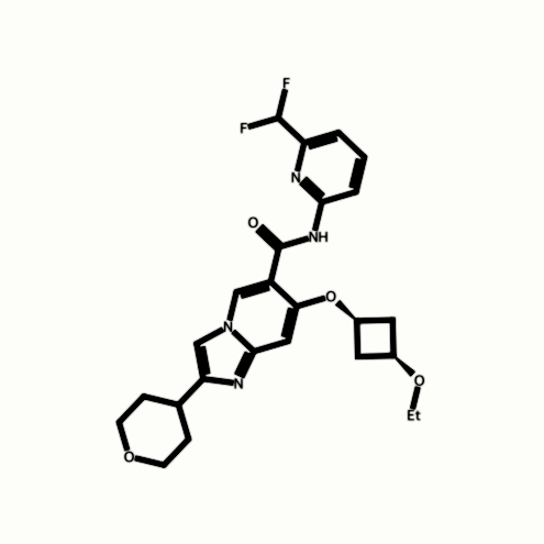 CCO[C@H]1C[C@@H](Oc2cc3nc(C4CCOCC4)cn3cc2C(=O)Nc2cccc(C(F)F)n2)C1